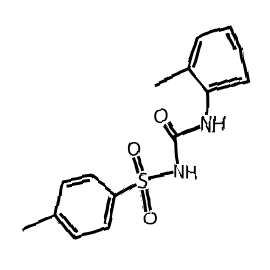 Cc1ccc(S(=O)(=O)NC(=O)Nc2ccccc2C)cc1